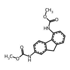 COC(=O)Nc1ccc2c(c1)Cc1cccc(NC(=O)OC)c1-2